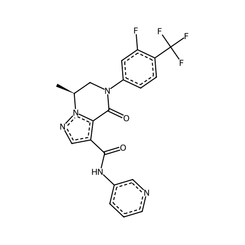 C[C@H]1CN(c2ccc(C(F)(F)F)c(F)c2)C(=O)c2c(C(=O)Nc3cccnc3)cnn21